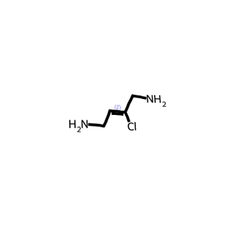 NC/C=C(\Cl)CN